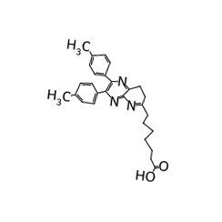 Cc1ccc(-c2nc3c(nc2-c2ccc(C)cc2)N=C(CCCCCCC(=O)O)CC3)cc1